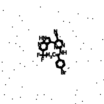 C[C@@H](Nc1ncc(C#N)c(-c2c[nH]c3ncc(C(F)(F)F)cc23)n1)c1ccc(Br)cc1